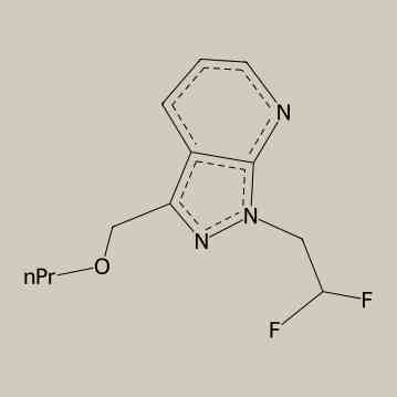 CCCOCc1nn(CC(F)F)c2ncccc12